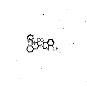 O=C(Nc1nccs1)C(CC1CCCCC1)n1cnc2c(C(F)(F)F)cccc2c1=O